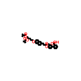 C=C(C)C(=O)OCC(CCCOc1ccc2cc(/C=C/C(=O)Oc3ccc(-c4ccccc4C(=O)O)cc3C)ccc2c1)OC(=O)C(=C)C